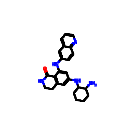 N[C@H]1CCCC[C@H]1Nc1cc2c(c(Nc3ccc4ncccc4c3)c1)C(=O)NCC2